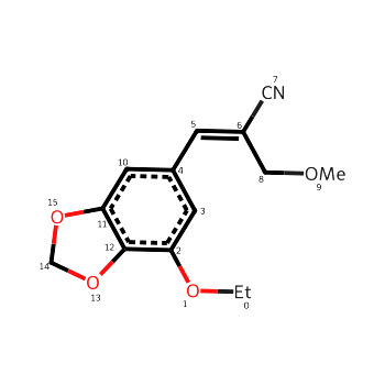 CCOc1cc(C=C(C#N)COC)cc2c1OCO2